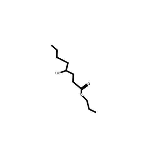 CCCCC(O)CCC(=O)OCCC